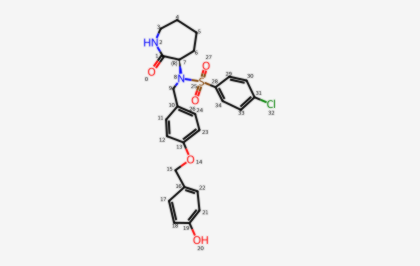 O=C1NCCCC[C@H]1N(Cc1ccc(OCc2ccc(O)cc2)cc1)S(=O)(=O)c1ccc(Cl)cc1